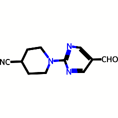 N#CC1CCN(c2ncc(C=O)cn2)CC1